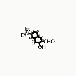 CCN(CC)c1ccc2cc(C=O)c(O)cc2c1